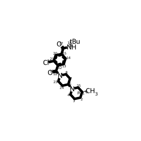 C[C@@H]1CCCN(C2CCN(C(=O)c3ccc(C(=O)NC(C)(C)C)cc3Cl)CC2)C1